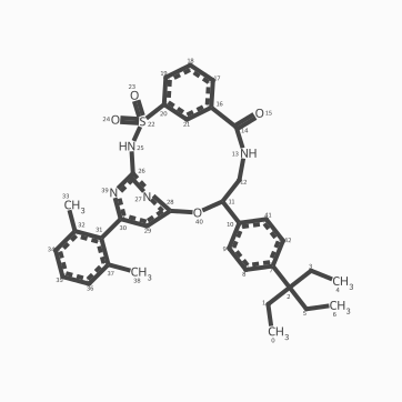 CCC(CC)(CC)c1ccc(C2CNC(=O)c3cccc(c3)S(=O)(=O)Nc3nc(cc(-c4c(C)cccc4C)n3)O2)cc1